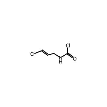 O=C(Cl)NCC=CCl